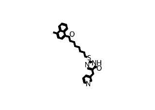 Cc1ccc(C(=O)CCCCCCCSc2ncc(Cc3cccnc3)c(=O)[nH]2)c2ccccc12